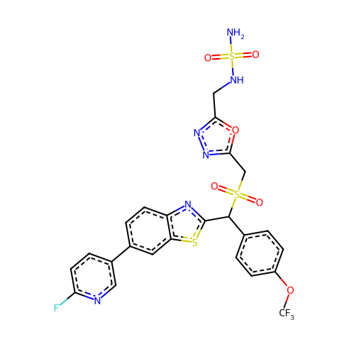 NS(=O)(=O)NCc1nnc(CS(=O)(=O)C(c2ccc(OC(F)(F)F)cc2)c2nc3ccc(-c4ccc(F)nc4)cc3s2)o1